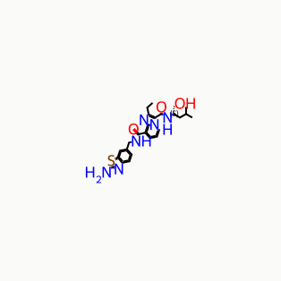 CCc1nc2c(C(=O)NCc3ccc4nc(N)sc4c3)cccn2c1C(=O)N[C@H](CO)CC(C)C